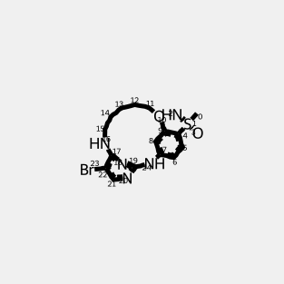 CS(=N)(=O)c1ccc2cc1OCCCCCNc1nc(ncc1Br)N2